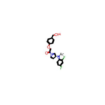 CC(=O)N(c1ccc(F)cc1F)[C@@H]1CCN(C(=O)COc2ccc(CO)cc2)C1